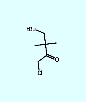 CC(C)(C)CC(C)(C)C(=O)CCl